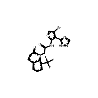 O=C(Cn1c(=O)ccc2cccc(C(F)(F)F)c21)Nc1scc(Br)c1-c1ncn[nH]1